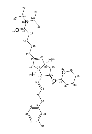 Cc1cccc(CC/C=C/[C@@H]2[C@H]3CC(CCCCC(=O)N(C(C)C)C(C)C)=C[C@H]3C[C@H]2OC2CCCCO2)c1